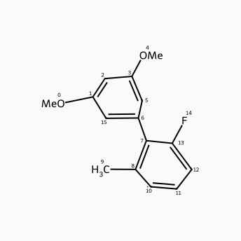 COc1cc(OC)cc(-c2c(C)[c]ccc2F)c1